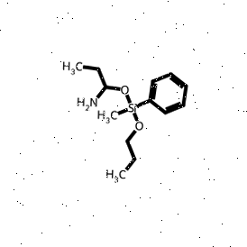 CCCO[Si](C)(OC(N)CC)c1ccccc1